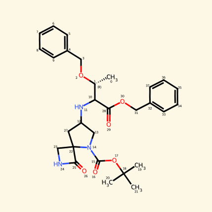 C[C@@H](OCc1ccccc1)C(NC1CN(C(=O)OC(C)(C)C)C2(CNC2=O)C1)C(=O)OCc1ccccc1